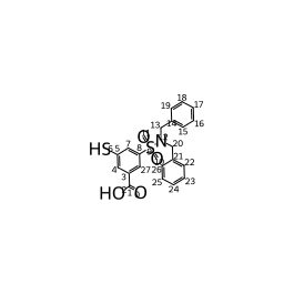 O=C(O)c1cc(S)cc(S(=O)(=O)N(Cc2ccccc2)Cc2ccccc2)c1